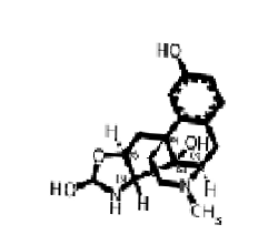 CN1CC[C@]23C[C@@H]4OC(O)N[C@H]4C[C@@]2(O)[C@H]1Cc1ccc(O)cc13